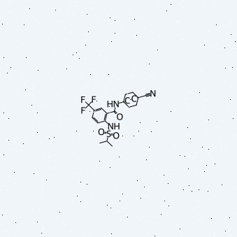 CC(C)S(=O)(=O)Nc1ccc(C(F)(F)F)cc1C(=O)NC12CCC(C#N)(CC1)CC2